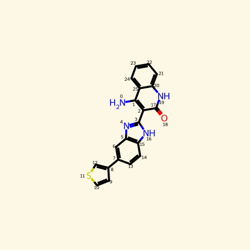 Nc1c(-c2nc3cc(-c4ccsc4)ccc3[nH]2)c(=O)[nH]c2ccccc12